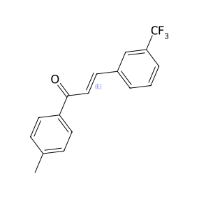 Cc1ccc(C(=O)/C=C/c2cccc(C(F)(F)F)c2)cc1